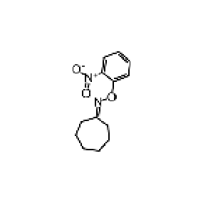 O=[N+]([O-])c1ccccc1ON=C1CCCCCC1